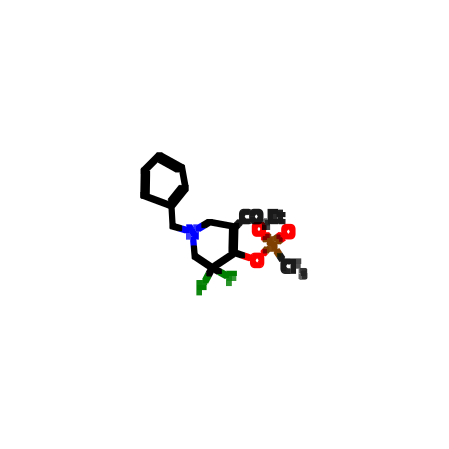 CCOC(=O)C1=C(OS(=O)(=O)C(F)(F)F)C(F)(F)CN(Cc2ccccc2)C1